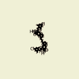 Cc1cc(Cl)cc(C)c1CC(=O)NC1(C(=O)O)CCC2(CC1)OCCC(CCCC1CCOC3(CCC(NC(=O)Cc4c(C)cc(Cl)cc4C)(C(=O)O)CC3)O1)O2